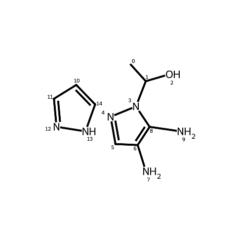 CC(O)n1ncc(N)c1N.c1cn[nH]c1